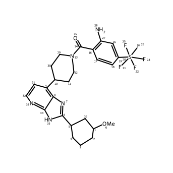 COC1CCCC(c2nc3c(C4CCN(C(=O)c5ccc(S(F)(F)(F)(F)F)cc5N)CC4)ccnc3[nH]2)C1